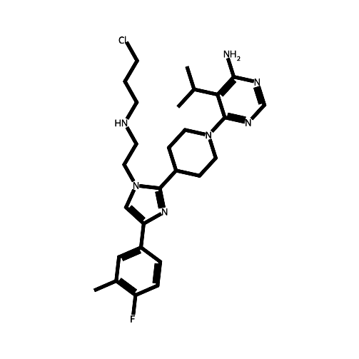 Cc1cc(-c2cn(CCNCCCCl)c(C3CCN(c4ncnc(N)c4C(C)C)CC3)n2)ccc1F